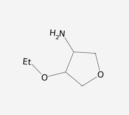 CCOC1COCC1N